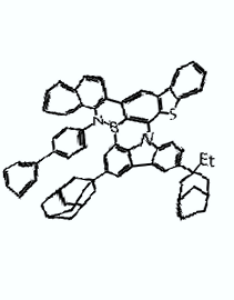 CCC1(c2ccc3c(c2)c2cc(C45CC6CC(CC(C6)C4)C5)cc4c2n3-c2c3c(cc5c2sc2ccccc25)-c2ccc5ccccc5c2N(c2ccc(-c5ccccc5)cc2)B34)CC2CCC(C2)C1